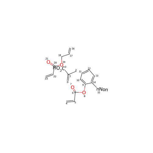 C=C(C)C(=O)O.C=CC(=O)Oc1ccccc1CCCCCCCCC.C=CCOC(=O)C=C